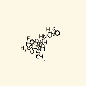 COCC1=C(C(=O)OC)[C@H](c2ccc(F)c(F)c2)N(C(=O)NCCNC2CCN(c3ccccc3C)CC2)C(=O)N1